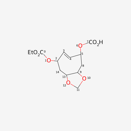 CCOC(=O)OC1/C=C/C(OC(=O)O)CC2OCOC2C1